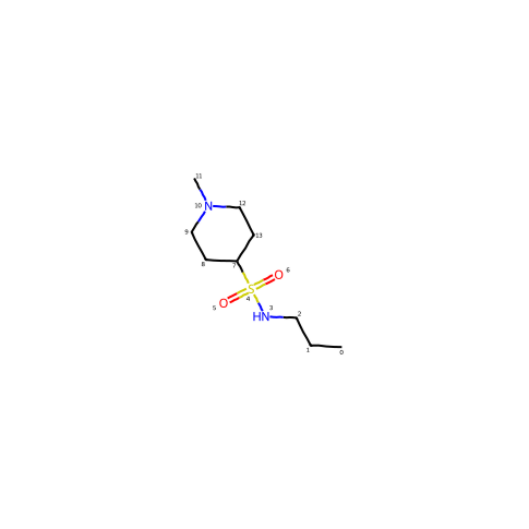 CCCNS(=O)(=O)C1CCN(C)CC1